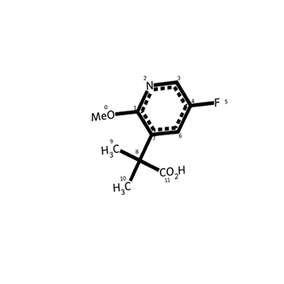 COc1ncc(F)cc1C(C)(C)C(=O)O